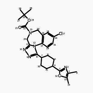 Cc1nc(C2CCC(c3nnc4n3-c3ccc(Cl)cc3CN(C(=O)OC(C)(C)C)C4)CC2)oc1C